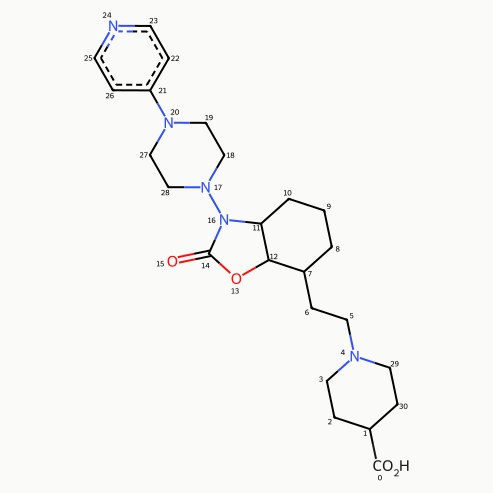 O=C(O)C1CCN(CCC2CCCC3C2OC(=O)N3N2CCN(c3ccncc3)CC2)CC1